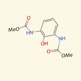 COC(=O)Nc1cccc(NC(=O)OC)c1O